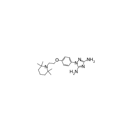 CC1(C)CCCC(C)(C)N1CCOc1ccc(-n2nc(N)nc2N)cc1